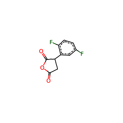 O=C1CC(c2cc(F)ccc2F)C(=O)O1